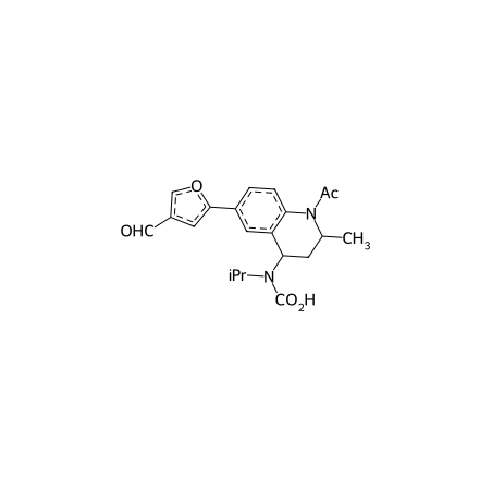 CC(=O)N1c2ccc(-c3cc(C=O)co3)cc2C(N(C(=O)O)C(C)C)CC1C